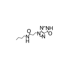 CCCCNC(=O)CCn1cnc2c(=O)[nH]cnc21